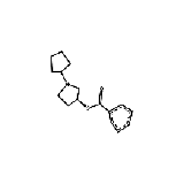 O=C(S[C@H]1CCN(C2CCCC2)C1)c1ccccc1